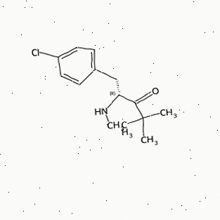 CN[C@H](Cc1ccc(Cl)cc1)C(=O)C(C)(C)C